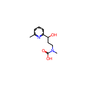 Cc1cccc(C(O)CCN(C)C(=O)O)n1